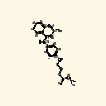 C=C(CCCOc1ccc(Nc2nc(C)nc3ccccc23)cc1)OCC